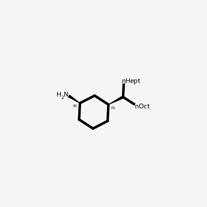 CCCCCCCCC(CCCCCCC)[C@H]1CCC[C@@H](N)C1